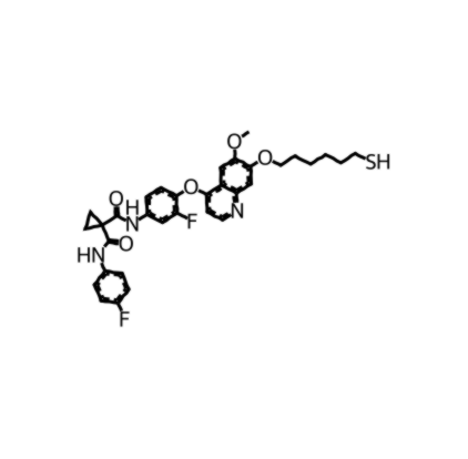 COc1cc2c(Oc3ccc(NC(=O)C4(C(=O)Nc5ccc(F)cc5)CC4)cc3F)ccnc2cc1OCCCCCCS